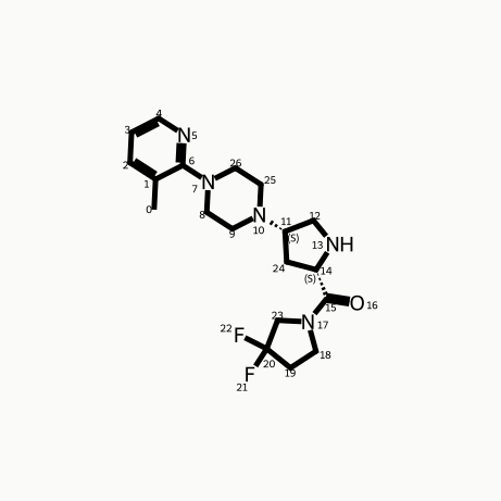 Cc1cccnc1N1CCN([C@@H]2CN[C@H](C(=O)N3CCC(F)(F)C3)C2)CC1